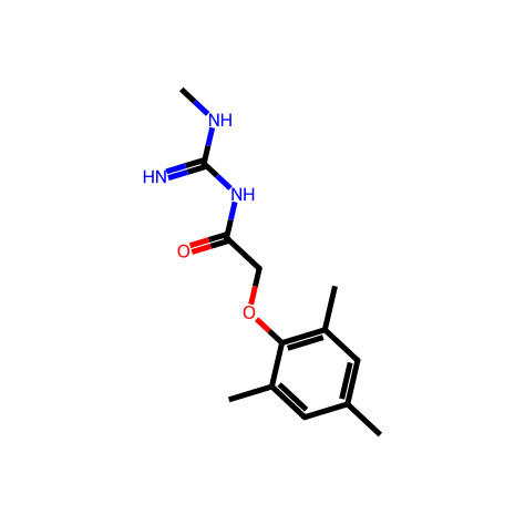 CNC(=N)NC(=O)COc1c(C)cc(C)cc1C